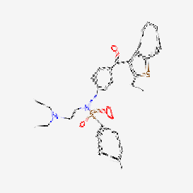 CCc1sc2ccccc2c1C(=O)c1ccc(N(CCN(CC)CC)S(=O)(=O)c2ccc(C)cc2)cc1